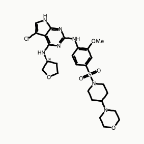 COc1cc(S(=O)(=O)N2CCC(N3CCOCC3)CC2)ccc1Nc1nc(N[C@H]2CCOC2)c2c(Cl)c[nH]c2n1